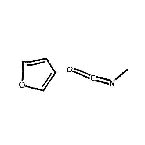 CN=C=O.c1ccoc1